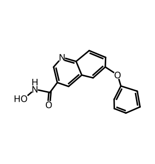 O=C(NO)c1cnc2ccc(Oc3ccccc3)cc2c1